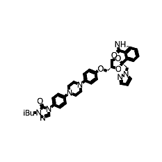 CCC(C)n1ncn(-c2ccc(N3CCN(c4ccc(OC[C@@H]5CO[C@@](Cn6cccn6)(c6ccccc6C(N)=O)O5)cc4)CC3)cc2)c1=O